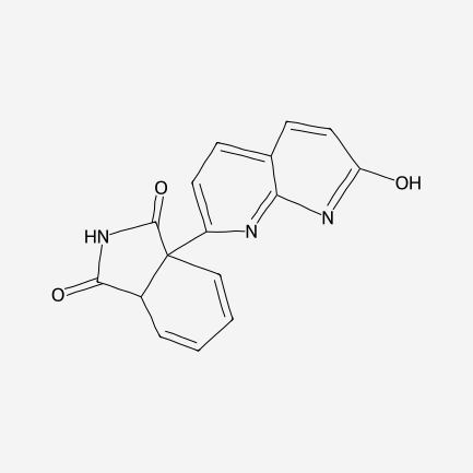 O=C1NC(=O)C2(c3ccc4ccc(O)nc4n3)C=CC=CC12